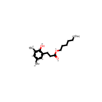 CCCCCCCCCCCCCCCOC(=O)CCc1cc(C(C)(C)C)cc(C(C)(C)C)c1O